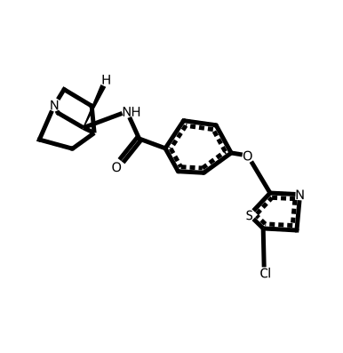 O=C(N[C@H]1CN2CCC1CC2)c1ccc(Oc2ncc(Cl)s2)cc1